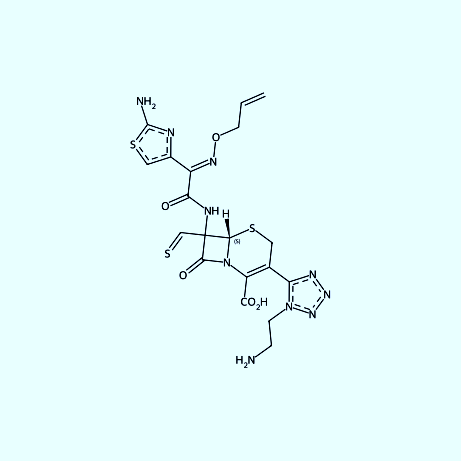 C=CCON=C(C(=O)NC1(C=S)C(=O)N2C(C(=O)O)=C(c3nnnn3CCN)CS[C@H]21)c1csc(N)n1